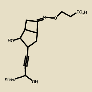 CCCCCCC(O)C#CC1CC2C(=NOCCC(=O)O)CC2C1O